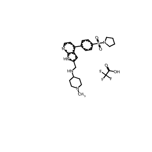 CN1CCC(NCc2cc3c(-c4ccc(S(=O)(=O)N5CCCC5)cc4)ccnc3[nH]2)CC1.O=C(O)C(F)(F)F